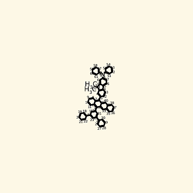 CC1(C)c2cc(-c3c4ccccc4c(-c4cc(-c5ccccc5)cc(-c5ccccc5)c4)c4cc5ccccc5cc34)ccc2-c2ccc(N(c3ccccc3)c3ccccc3)cc21